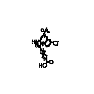 CN(C)C(=O)N1C=C2NN=C(N3CC4(CN(C(=O)O)C4)C3)N2c2ccc(Cl)cc2C1